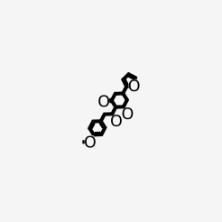 COc1ccc(CC(=O)C2C(=O)CC(c3ccco3)CC2=O)cc1